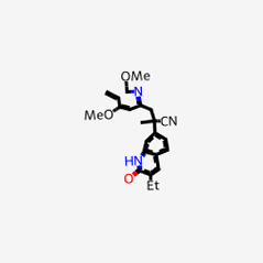 C=C/C(=C\C(CC(C)(C#N)c1ccc2cc(CC)c(=O)[nH]c2c1)=N/COC)OC